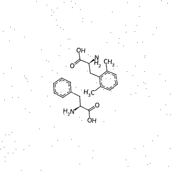 Cc1cccc(C)c1C[C@H](N)C(=O)O.N[C@@H](Cc1ccccc1)C(=O)O